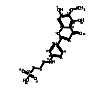 COc1c(O)cc2oc(-c3ccc(NCCCS(=O)(=O)O)cc3)cc(=O)c2c1O